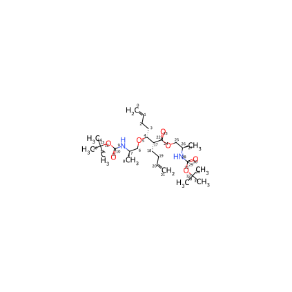 C=CCC[C@@H](OC[C@@H](C)NC(=O)OC(C)(C)C)[C@@H](CCC=C)C(=O)OC[C@@H](C)NC(=O)OC(C)(C)C